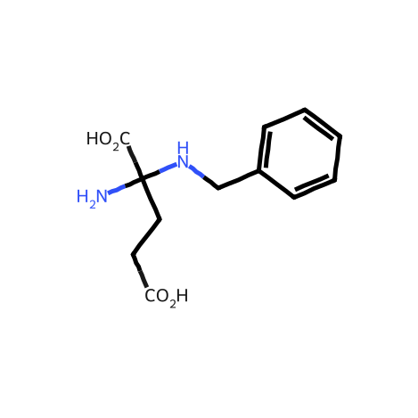 NC(CCC(=O)O)(NCc1ccccc1)C(=O)O